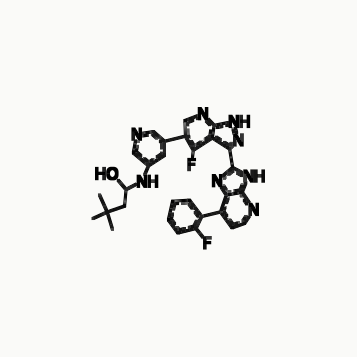 CC(C)(C)CC(O)Nc1cncc(-c2cnc3[nH]nc(-c4nc5c(-c6ccccc6F)ccnc5[nH]4)c3c2F)c1